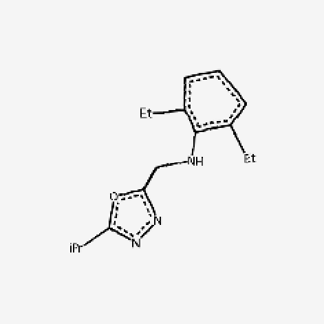 CCc1cccc(CC)c1NCc1nnc(C(C)C)o1